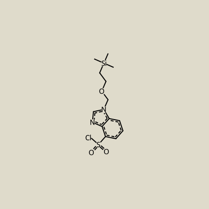 C[Si](C)(C)CCOCn1cnc2c(S(=O)(=O)Cl)cccc21